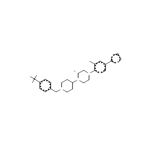 CC[C@H]1CN(c2ncc(-c3ncc[nH]3)cc2Cl)CCN1C1CCN(Cc2ccc(C(C)(C)N)cc2)CC1